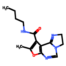 CCCCNC(=O)c1c(C)oc2c1C1=NCCN1C=N2